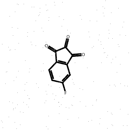 O=c1c(=O)c2ccc(F)cc2c1=O